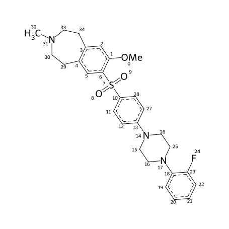 COc1cc2c(cc1S(=O)(=O)c1ccc(N3CCN(c4ccccc4F)CC3)cc1)CCN(C)CC2